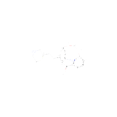 Nc1cc2cc(CCC3CNCCS3)c1C(=O)c1cccc(c1)OCO2